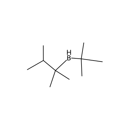 CC(C)C(C)(C)BC(C)(C)C